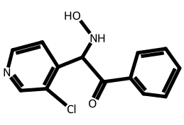 O=C(c1ccccc1)C(NO)c1ccncc1Cl